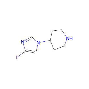 Ic1cn(C2CCNCC2)cn1